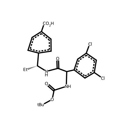 CC[C@@H](NC(=O)C(NC(=O)OC(C)(C)C)c1cc(Cl)cc(Cl)c1)c1ccc(C(=O)O)cc1